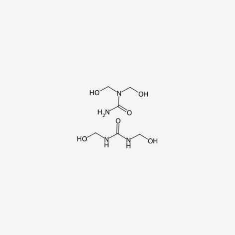 NC(=O)N(CO)CO.O=C(NCO)NCO